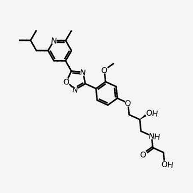 COc1cc(OC[C@@H](O)CNC(=O)CO)ccc1-c1noc(-c2cc(C)nc(CC(C)C)c2)n1